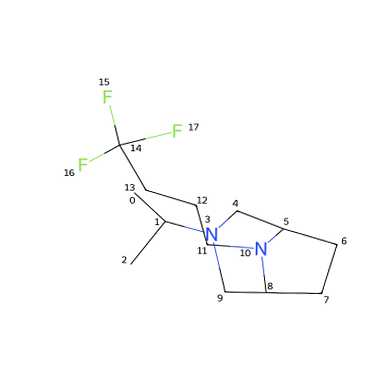 CC(C)N1CC2CCC(C1)N2CCCC(F)(F)F